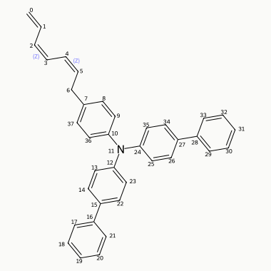 C=C/C=C\C=C/Cc1ccc(N(c2ccc(-c3ccccc3)cc2)c2ccc(-c3ccccc3)cc2)cc1